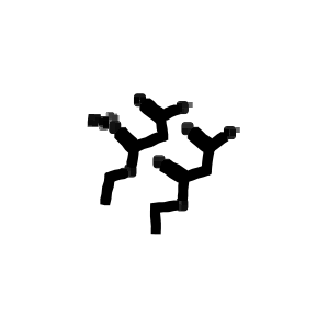 CCOC(=O)CC(=O)[O-].CCOC(=O)CC(=O)[O-].[Mg+2]